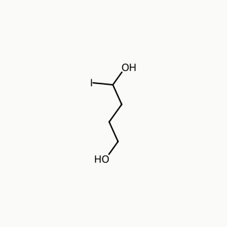 OCCCC(O)I